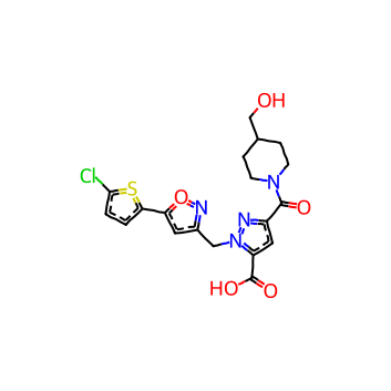 O=C(O)c1cc(C(=O)N2CCC(CO)CC2)nn1Cc1cc(-c2ccc(Cl)s2)on1